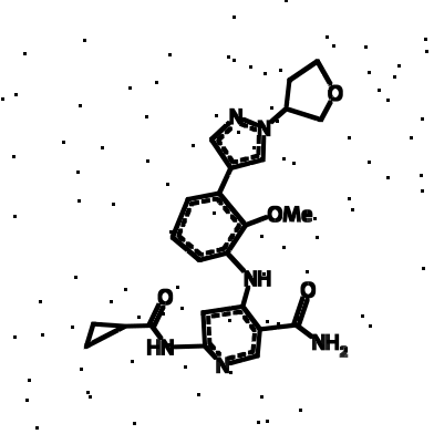 COc1c(Nc2cc(NC(=O)C3CC3)ncc2C(N)=O)cccc1-c1cnn(C2CCOC2)c1